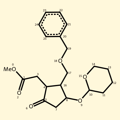 COC(=O)CC1C(=O)CC(OC2CCCCO2)C1COCc1ccccc1